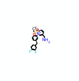 NCC1=C[N+](c2cccc(Cc3ccc(F)c(F)c3)c2)(S(=O)(=O)CC(F)(F)F)CC=C1